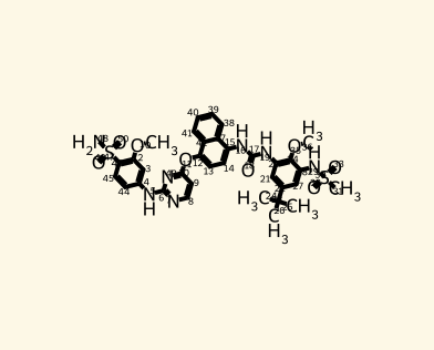 COc1cc(Nc2nccc(Oc3ccc(NC(=O)Nc4cc(C(C)(C)C)cc(NS(C)(=O)=O)c4OC)c4ccccc34)n2)ccc1S(N)(=O)=O